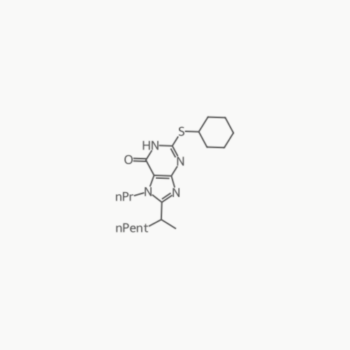 CCCCCC(C)c1nc2nc(SC3CCCCC3)[nH]c(=O)c2n1CCC